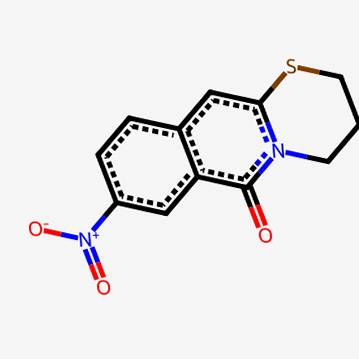 O=c1c2cc([N+](=O)[O-])ccc2cc2n1CCCS2